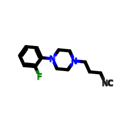 [C-]#[N+]CCCN1CCN(c2ccccc2F)CC1